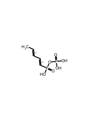 C/C=C/C=C/P(=O)(O)OP(=O)(O)O